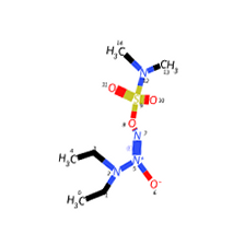 CCN(CC)/[N+]([O-])=N\OS(=O)(=O)N(C)C